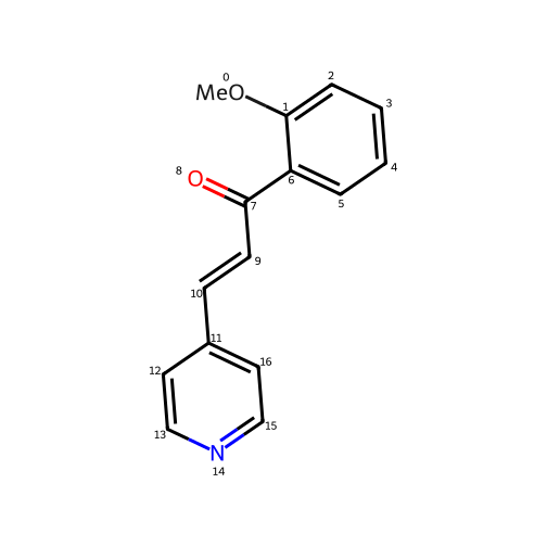 COc1ccccc1C(=O)C=Cc1ccncc1